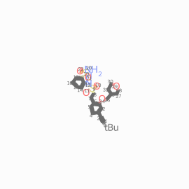 CC(C)(C)C#Cc1ccc(CCS(=O)(=O)Nc2ccccc2S(N)(=O)=O)c(OCC2CCOCC2)c1